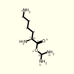 NCCCC[C@H](N)C(=O)OC(N)N